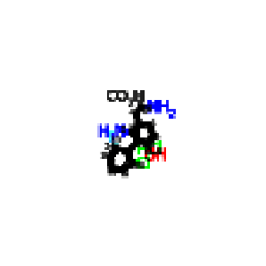 Cl.Nc1c(C[C@H](N)C(=O)O)ccc(O)c1-c1c(F)cccc1Cl